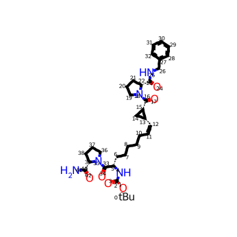 CC(C)(C)OC(=O)N[C@@H](CCCCC/C=C\[C@@H]1C[C@@H]1C(=O)N1CCC[C@@H]1C(=O)NCc1ccccc1)C(=O)N1CCC[C@H]1C(N)=O